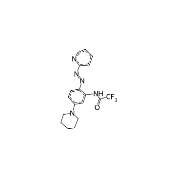 O=C(Nc1cc(N2CCCCC2)ccc1N=Nc1ccccn1)C(F)(F)F